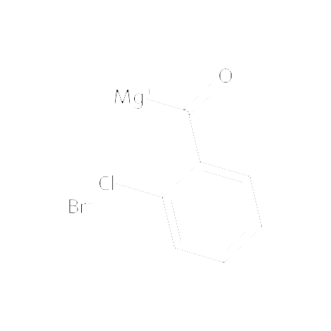 O=[C]([Mg+])c1ccccc1Cl.[Br-]